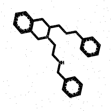 c1ccc(CCCC2Cc3ccccc3CN2CCNCc2ccccc2)cc1